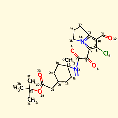 CC1(NC(=O)C(=O)c2c(Cl)c(C=O)c3n2CCC3)CCC(CC(=O)OC(C)(C)C)CC1